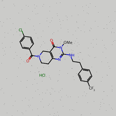 COn1c(NCCc2ccc(C(F)(F)F)cc2)nc2c(c1=O)CN(C(=O)c1ccc(Cl)cc1)CC2.Cl